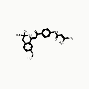 COc1ccc2c(c1)/C(=C/C(=O)c1ccc(NC(=O)C=C(C)C)cc1)NC(C)(C)C2